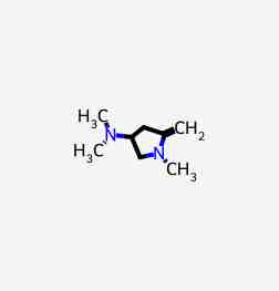 C=C1CC(N(C)C)CN1C